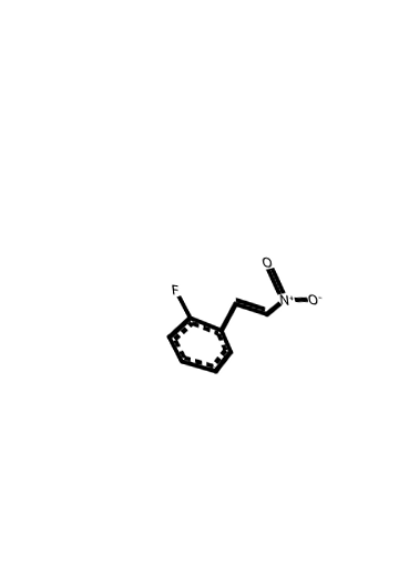 O=[N+]([O-])/C=C/c1ccccc1F